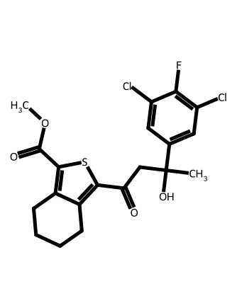 COC(=O)c1sc(C(=O)CC(C)(O)c2cc(Cl)c(F)c(Cl)c2)c2c1CCCC2